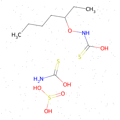 CCCCC(CC)ONC(O)=S.NC(O)=S.O=S(O)O